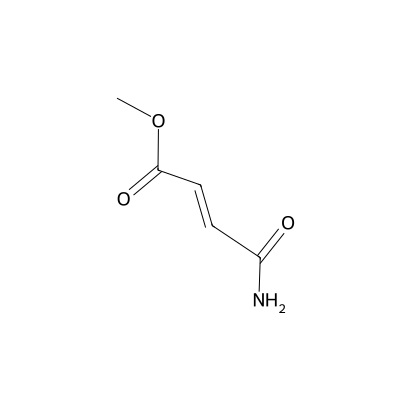 COC(=O)C=CC(N)=O